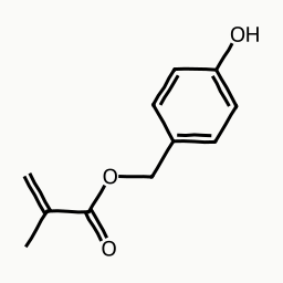 C=C(C)C(=O)OCc1ccc(O)cc1